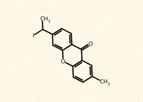 Cc1ccc2oc3cc(C(C)I)ccc3c(=O)c2c1